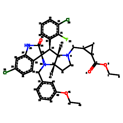 CCOC(=O)C1CC1CN1CC[C@H]2[C@@H]1[C@H](c1cccc(Cl)c1F)[C@]1(C(=O)Nc3cc(Cl)ccc31)N2Cc1cccc(OCC)c1